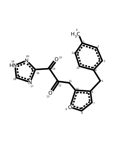 Cc1ccc(Cc2ccoc2CC(=O)C(=O)c2nc[nH]n2)cc1